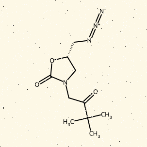 CC(C)(C)C(=O)CN1C[C@@H](CN=[N+]=[N-])OC1=O